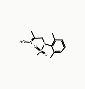 CC(CN(c1c(C)cccc1C)S(C)(=O)=O)=NO